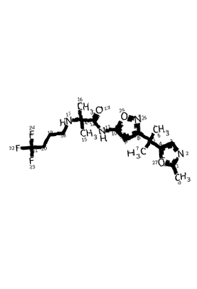 Cc1ncc(C(C)(C)c2cc(NC(=O)C(C)(C)NCCCC(F)(F)F)on2)o1